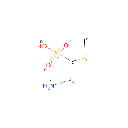 CSC(CN)S(=O)(=O)O